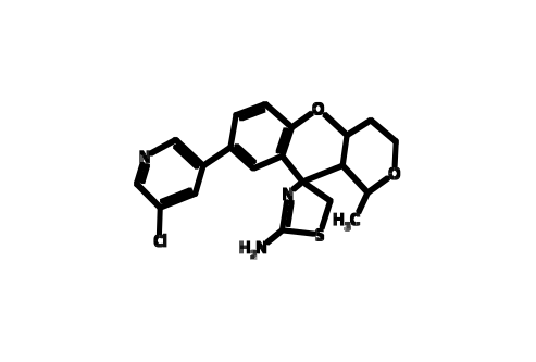 CC1OCCC2Oc3ccc(-c4cncc(Cl)c4)cc3C3(CSC(N)=N3)C12